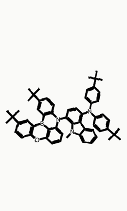 Cn1c2ccccc2c2c(N(c3ccc(C(C)(C)C)cc3)c3ccc(C(C)(C)C)cc3)ccc(N3c4ccc(C(C)(C)C)cc4B4c5cc(C(C)(C)C)ccc5Oc5cccc3c54)c21